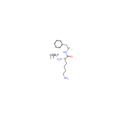 CS(=O)(=O)O.CS(=O)(=O)O.C[C@@H](Cc1ccccc1)NC(=O)[C@@H](N)CCCCN